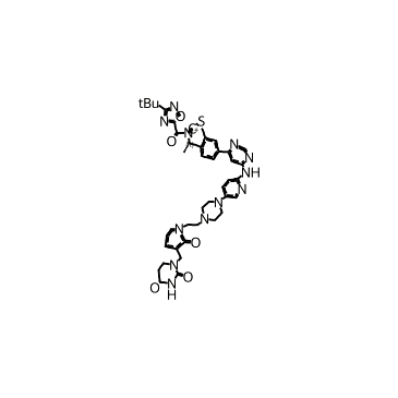 Cc1cc(-c2cc(Nc3ccc(N4CCN(CCn5cccc(CN6CCC(=O)NC6=O)c5=O)CC4)cn3)ncn2)ccc1[C@@H](C)[N+](=C=S)C(=O)c1nc(C(C)(C)C)no1